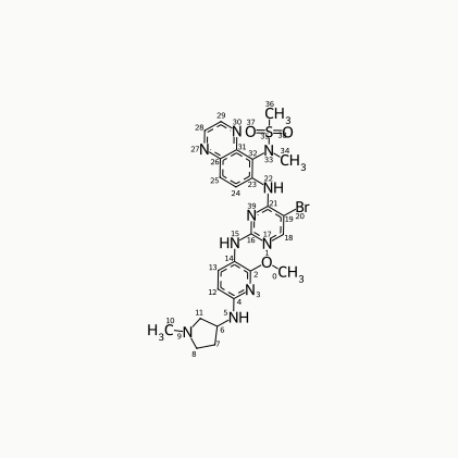 COc1nc(NC2CCN(C)C2)ccc1Nc1ncc(Br)c(Nc2ccc3nccnc3c2N(C)S(C)(=O)=O)n1